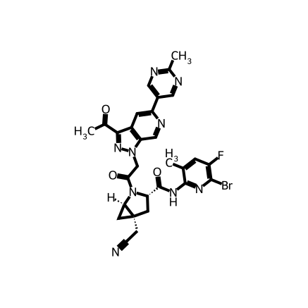 CC(=O)c1nn(CC(=O)N2[C@H](C(=O)Nc3nc(Br)c(F)cc3C)C[C@@]3(CC#N)C[C@@H]23)c2cnc(-c3cnc(C)nc3)cc12